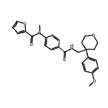 COc1ccc(C2(CNC(=O)c3ccc(N(C)C(=O)c4ccco4)cc3)CCOCC2)cc1